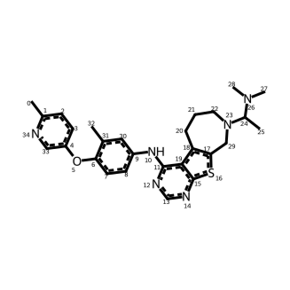 Cc1ccc(Oc2ccc(Nc3ncnc4sc5c(c34)CCCN(C(C)N(C)C)C5)cc2C)cn1